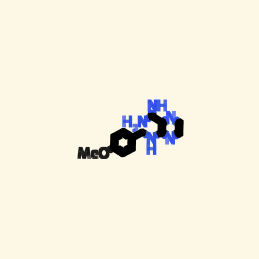 COc1ccc(CNc2nccnc2C(=N)N)cc1